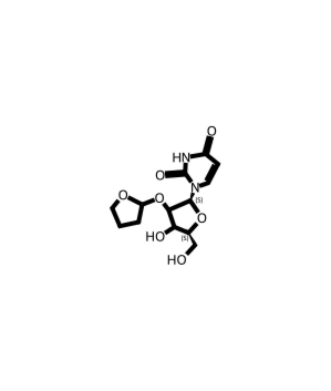 O=c1ccn([C@H]2O[C@@H](CO)C(O)C2OC2CCCO2)c(=O)[nH]1